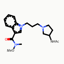 CON(C)C(=O)c1cn(CCCN2CCC(NC(C)=O)C2)c2ccccc12